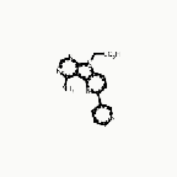 Nc1ncnc2c1c1nc(-c3cccnc3)ccc1n2CC(=O)O